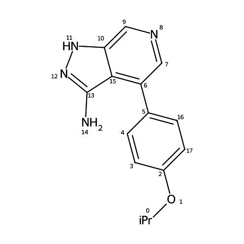 CC(C)Oc1ccc(-c2cncc3[nH]nc(N)c23)cc1